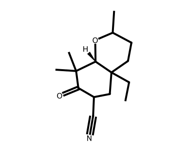 CCC12CCC(C)O[C@H]1C(C)(C)C(=O)C(C#N)C2